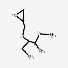 CCC(OCC1CO1)C(C)O[SiH3]